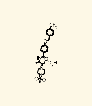 CC(NC(=O)c1ccc(OCc2ccc(C(F)(F)F)cc2)cc1)C(C(=O)O)N1CCN(S(C)(=O)=O)CC1